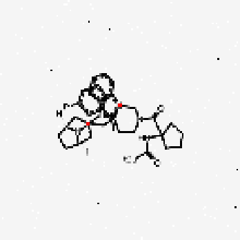 Cc1nc2ccccc2n1C1C[C@H]2CC[C@@H](C1)N2CCC1(c2cccc(F)c2)CCN(C(=O)C2(NC(=O)C(C)(C)C)CCCC2)CC1